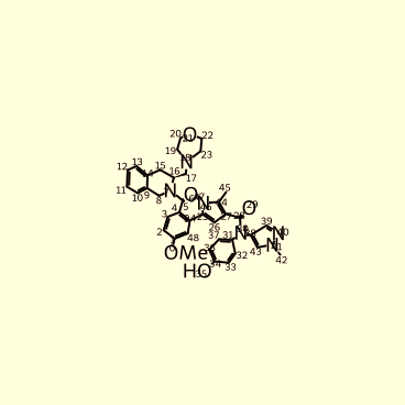 COc1ccc(C(=O)N2Cc3ccccc3C[C@H]2CN2CCOCC2)c(-c2cc(C(=O)N(c3ccc(O)cc3)c3cnn(C)c3)c(C)n2C)c1